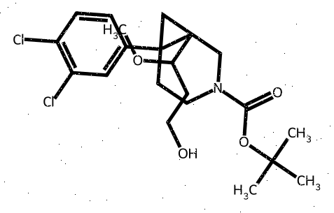 COC(CCO)C12CN(C(=O)OC(C)(C)C)CCC1(c1ccc(Cl)c(Cl)c1)C2